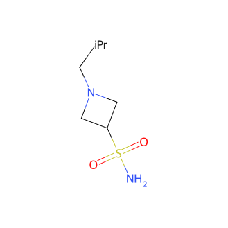 CC(C)CN1CC(S(N)(=O)=O)C1